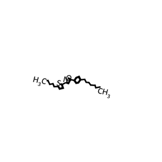 CCCCCCCCc1ccc(-c2cc(-c3ccc(CCCCC)s3)no2)cc1